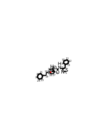 O=C(Nc1ncsc1-c1ccccc1)O[C@H]1C[N+]2(CCc3ccccc3)CCC1CC2